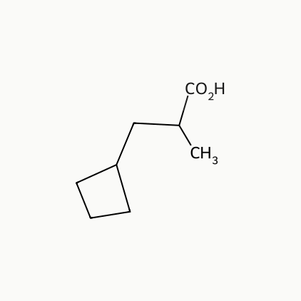 CC(CC1CCC1)C(=O)O